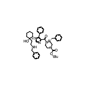 CC(C)(C)OC(=O)N1CCN(C(=O)c2ncn([C@H]3CCCCC3(O)CCNCc3ccccc3)c2-c2ccccc2)[C@H](Cc2ccccc2)C1